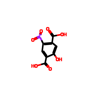 O=C(O)c1cc(I(=O)=O)c(C(=O)O)cc1O